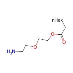 CCCCCCCC(=O)OCCOCCN